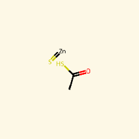 CC(=O)S.[S]=[Zn]